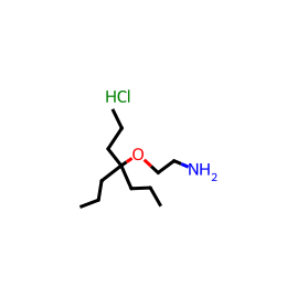 CCCC(CCC)(CCC)OCCN.Cl